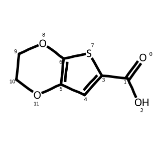 O=C(O)c1cc2c(s1)OCCO2